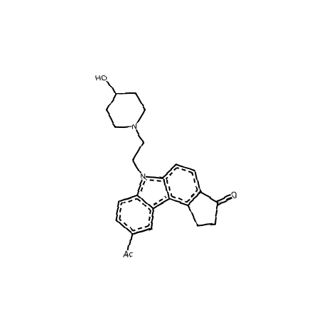 CC(=O)c1ccc2c(c1)c1c3c(ccc1n2CCN1CCC(O)CC1)C(=O)CC3